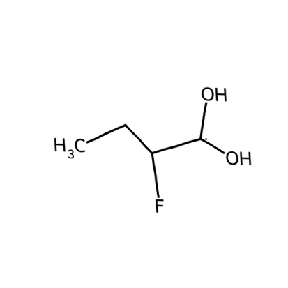 CCC(F)[C](O)O